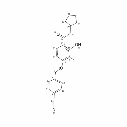 Cc1c(OCc2ccc(C#N)cc2)ccc(C(=O)CC2CCCC2)c1O